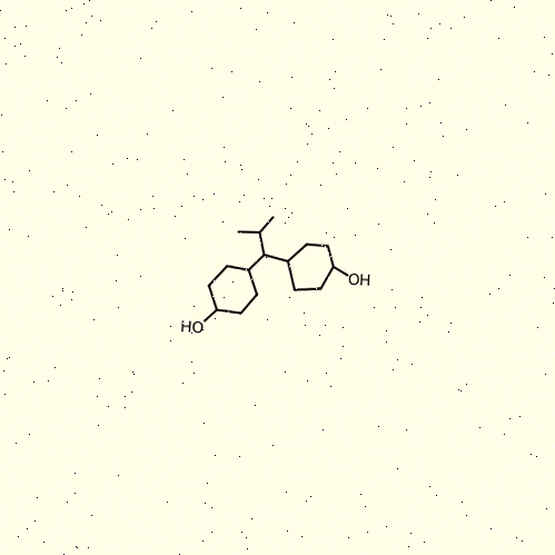 CC(C)C(C1CCC(O)CC1)C1CCC(O)CC1